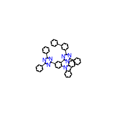 c1ccc(-c2cccc(-c3nc(-c4ccccc4)nc(-c4cc(-c5nc(-c6ccccc6)nc(-c6ccccc6)n5)ccc4-n4c5ccccc5c5ccccc54)n3)c2)cc1